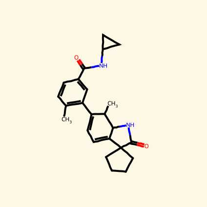 Cc1ccc(C(=O)NC2CC2)cc1C1=CC=C2C(NC(=O)C23CCCC3)C1C